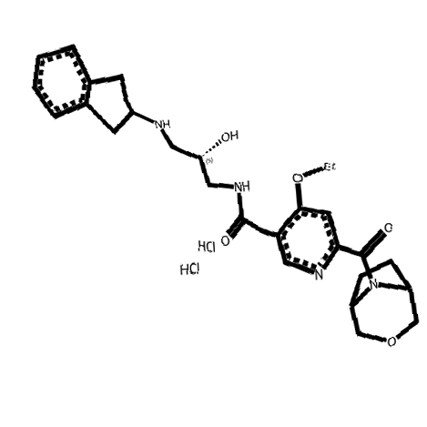 CCOc1cc(C(=O)N2C3CCC2COC3)ncc1C(=O)NC[C@@H](O)CNC1Cc2ccccc2C1.Cl.Cl